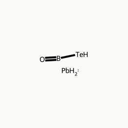 O=B[TeH].[PbH2]